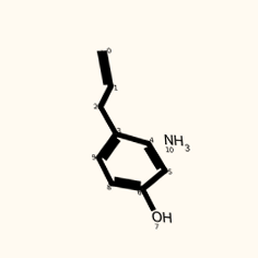 C=CCc1ccc(O)cc1.N